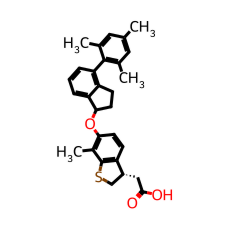 Cc1cc(C)c(-c2cccc3c2CCC3Oc2ccc3c(c2C)SC[C@H]3CC(=O)O)c(C)c1